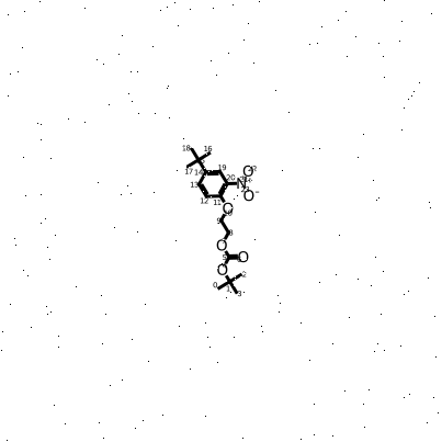 CC(C)(C)OC(=O)OCCOc1ccc(C(C)(C)C)cc1[N+](=O)[O-]